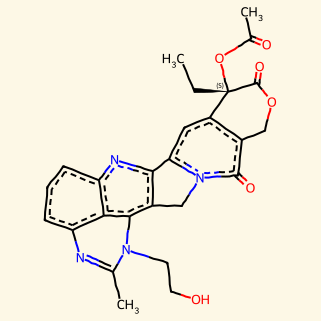 CC[C@@]1(OC(C)=O)C(=O)OCc2c1cc1n(c2=O)Cc2c-1nc1cccc3c1c2N(CCO)C(C)=N3